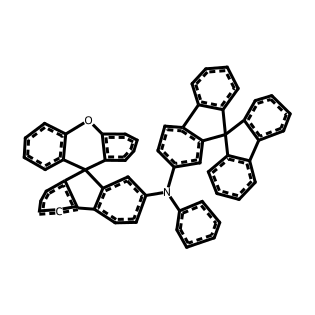 c1ccc(N(c2ccc3c(c2)C2(c4ccccc4Oc4ccccc42)c2ccccc2-3)c2ccc3c(c2)C2(c4ccccc4-c4ccccc42)c2ccccc2-3)cc1